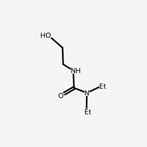 CCN(CC)C(=O)NCCO